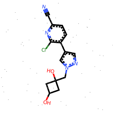 N#Cc1ccc(-c2cnn(CC3(O)CC(O)C3)c2)c(Cl)n1